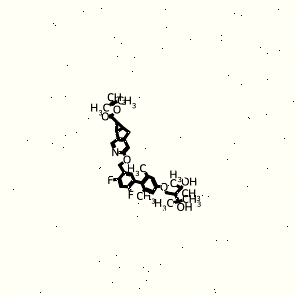 Cc1cc(OCC(C(C)(C)O)C(C)(C)O)cc(C)c1-c1cc(COc2cc3c(cn2)C2C(C3)C2C(=O)OC(C)(C)C)c(F)cc1F